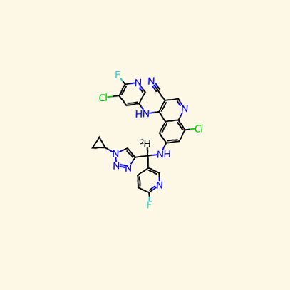 [2H]C(Nc1cc(Cl)c2ncc(C#N)c(Nc3cnc(F)c(Cl)c3)c2c1)(c1ccc(F)nc1)c1cn(C2CC2)nn1